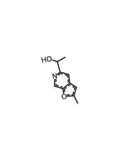 Cc1cc2cc(C(C)O)ncc2o1